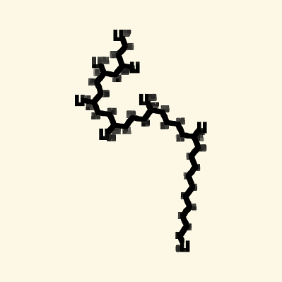 [Li][CH2]CCCCCCCCC[CH]([Li])CCCC[CH]([Li])CCC[CH]([Li])CC[CH]([Li])CC[CH]([Li])C[CH]([Li])C[CH2][Li]